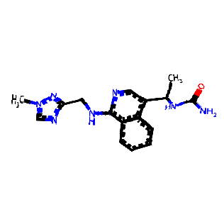 CC(NC(N)=O)c1cnc(NCc2ncn(C)n2)c2ccccc12